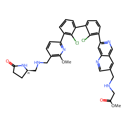 COC(=O)CNCc1cnc2cc(-c3cccc(-c4cccc(-c5ccc(CNC[C@H]6CCC(=O)N6)c(OC)n5)c4Cl)c3Cl)ncc2c1